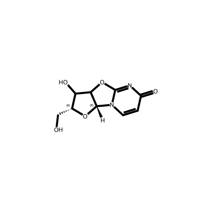 O=c1ccn2c(n1)OC1C(O)[C@@H](CO)O[C@H]12